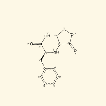 O=C1OCCC1N[C@@H](Cc1ccccc1)C(=O)O